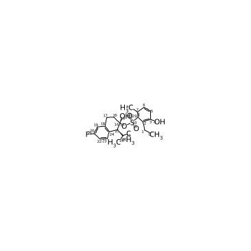 CCc1c(O)ccc(C)c1S(=O)(=O)O[C@@]1(O)CCc2cc(F)ccc2[C@@H]1C(C)C